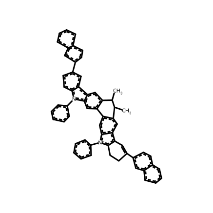 CC1c2cc3c4c(n(-c5ccccc5)c3cc2-c2cc3c(cc2C1C)c1cc(-c2ccc5ccccc5c2)ccc1n3-c1ccccc1)CCC(c1ccc2ccccc2c1)=C4